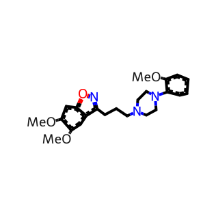 COc1cc2onc(CCCN3CCN(c4ccccc4OC)CC3)c2cc1OC